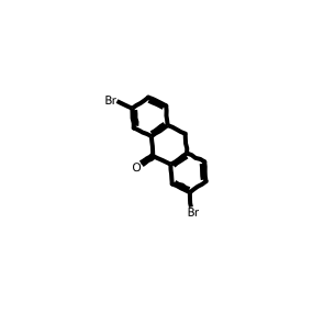 O=C1c2cc(Br)ccc2Cc2ccc(Br)cc21